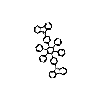 C1=CC2c3ccccc3N(c3ccc(-c4c(-c5ccccc5)c(-c5ccccc5)c(-c5ccc(-n6c7ccccc7c7ccccc76)cc5)c(-c5ccccc5)c4-c4ccccc4)cc3)C2C=C1